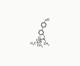 CCN(Cc1cccc(-c2ccc(C=O)cc2)c1)C(=O)OC(C)(C)C